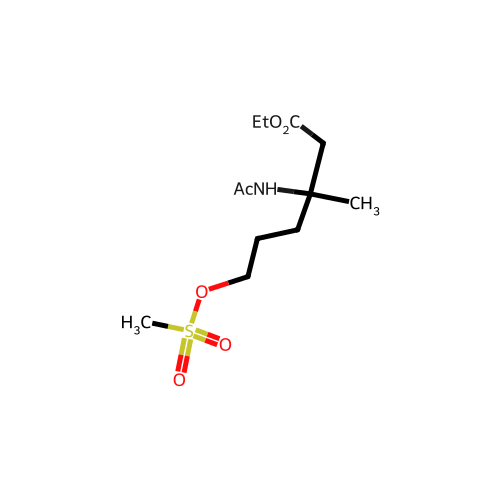 CCOC(=O)CC(C)(CCCOS(C)(=O)=O)NC(C)=O